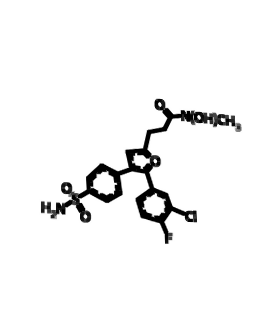 CN(O)C(=O)CCc1cc(-c2ccc(S(N)(=O)=O)cc2)c(-c2ccc(F)c(Cl)c2)o1